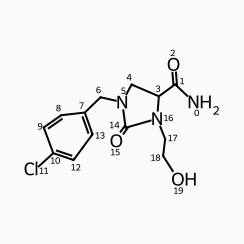 NC(=O)C1CN(Cc2ccc(Cl)cc2)C(=O)N1CCO